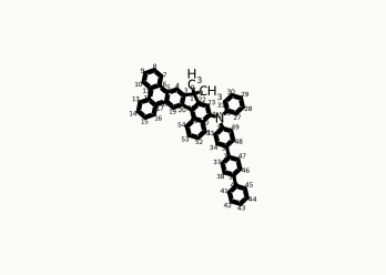 CC1(C)c2cc3c4ccccc4c4ccccc4c3cc2-c2c1cc(N(c1ccccc1)c1ccc(-c3ccc(-c4ccccc4)cc3)cc1)c1ccccc21